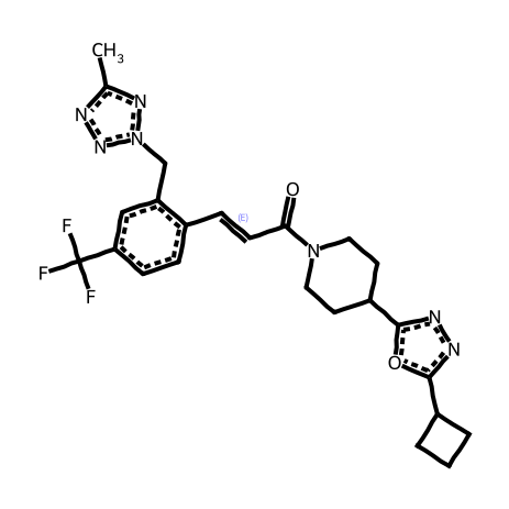 Cc1nnn(Cc2cc(C(F)(F)F)ccc2/C=C/C(=O)N2CCC(c3nnc(C4CCC4)o3)CC2)n1